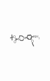 CCOc1cc(N2CCN(C(=O)OC(C)(C)C)CC2)ccc1N